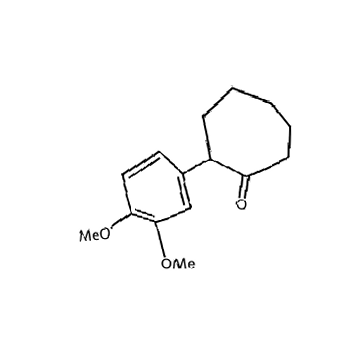 COc1ccc(C2CCCCCC2=O)cc1OC